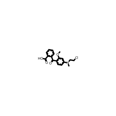 COc1cc(N(C)CCCl)ccc1C(=O)c1ccccc1C(=O)O